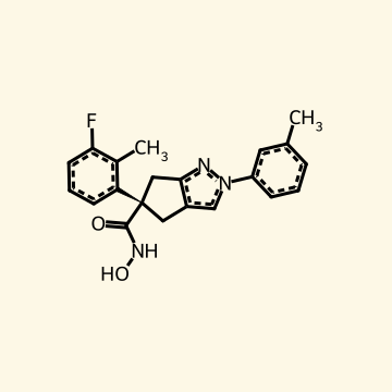 Cc1cccc(-n2cc3c(n2)C[C@](C(=O)NO)(c2cccc(F)c2C)C3)c1